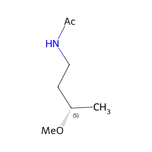 CO[C@@H](C)CCNC(C)=O